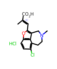 C/C(=C\c1oc2ccc(Cl)c3c2c1CN(C)CC3)C(=O)O.Cl